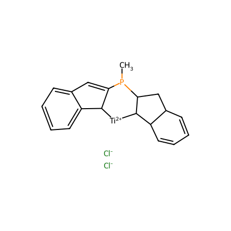 CP1C2=Cc3ccccc3[CH]2[Ti+2][CH]2C3C=CC=CC3CC21.[Cl-].[Cl-]